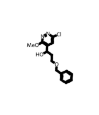 COc1nnc(Cl)cc1C(O)CCOCc1ccccc1